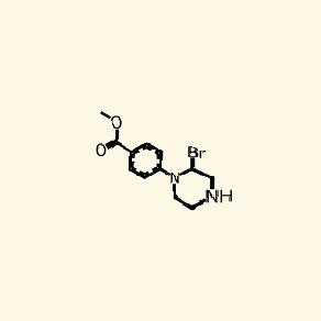 COC(=O)c1ccc(N2CCNCC2Br)cc1